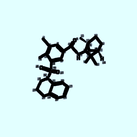 Cc1cc(C(=O)NC2C(C)(C)[C@@H]3CC[C@@]2(C)C3)cc(S(=O)(=O)N2CCCc3ccccc32)c1C